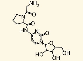 NCC(=O)N1CCCC1C(=O)Nc1ccn(C2OC(CO)C(O)C2O)c(=O)n1